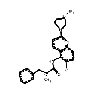 C[C@H](Cc1ccccc1)C(=O)Nc1c(Cl)ccc2nc(N3CC[C@H](N)C3)ccc12